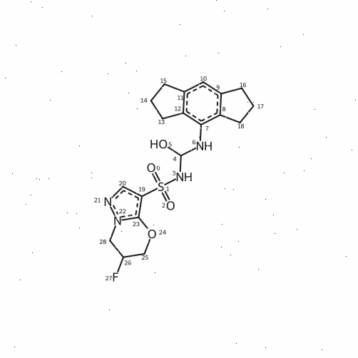 O=S(=O)(NC(O)Nc1c2c(cc3c1CCC3)CCC2)c1cnn2c1OCC(F)C2